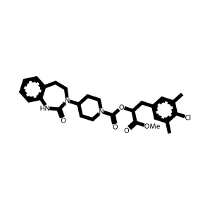 COC(=O)C(Cc1cc(C)c(Cl)c(C)c1)OC(=O)N1CCC(N2CCc3ccccc3NC2=O)CC1